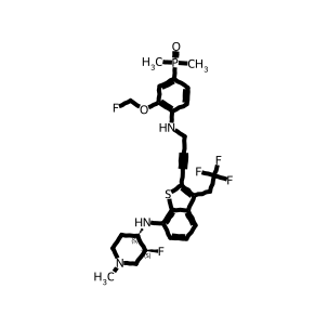 CN1CC[C@H](Nc2cccc3c(CC(F)(F)F)c(C#CCNc4ccc(P(C)(C)=O)cc4OCF)sc23)[C@@H](F)C1